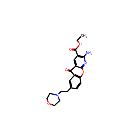 CCOC(=O)c1cc2c(=O)c3cc(CCN4CCOCC4)ccc3oc2nc1N